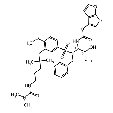 COc1ccc(S(=O)(=O)N(Cc2ccccc2)[C@H](NC(=O)Oc2coc3occc23)[C@@H](C)O)cc1CC(C)(C)CCCNC(=O)N(C)C